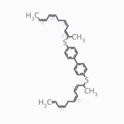 C=C/C=C\C/C=C\C=C/C(C)Sc1ccc(-c2ccc(S/C(C)=C/C=C\C/C=C\C=C/C)cc2)cc1